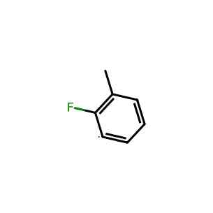 Cc1ccc[c]c1F